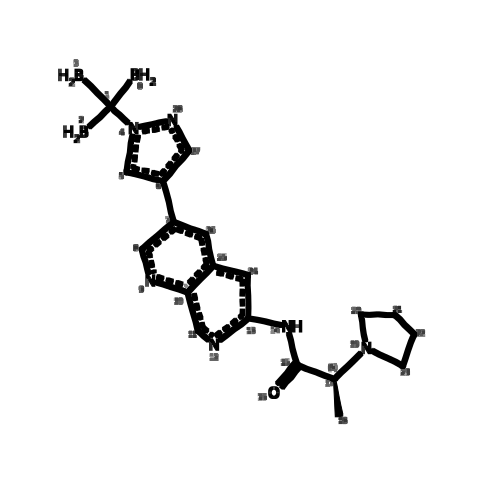 BC(B)(B)n1cc(-c2cnc3cnc(NC(=O)[C@H](C)N4CCCC4)cc3c2)cn1